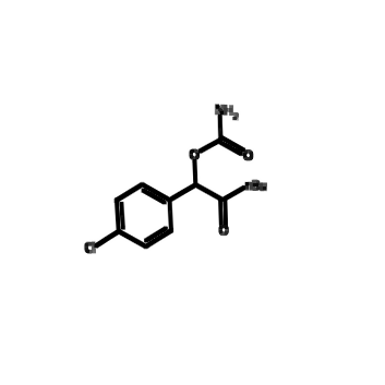 CCCCC(=O)C(OC(N)=O)c1ccc(Cl)cc1